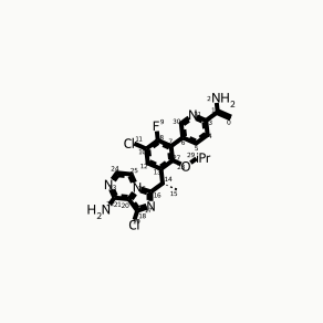 C=C(N)c1ccc(-c2c(F)c(Cl)cc([C@H](C)c3nc(Cl)c4c(N)nccn34)c2OC(C)C)cn1